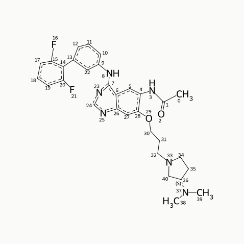 CC(=O)Nc1cc2c(Nc3cccc(-c4c(F)cccc4F)c3)ncnc2cc1OCCCN1CC[C@H](N(C)C)C1